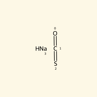 O=C=S.[NaH]